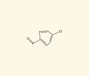 O=Pc1ccc(Cl)cc1